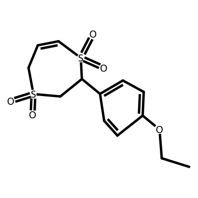 CCOc1ccc(C2CS(=O)(=O)CC=CS2(=O)=O)cc1